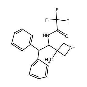 CC1(C(NC(=O)C(F)(F)F)C(c2ccccc2)c2ccccc2)CNC1